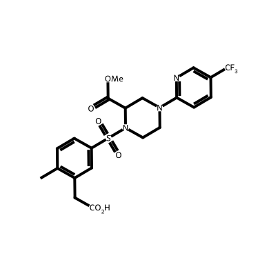 COC(=O)C1CN(c2ccc(C(F)(F)F)cn2)CCN1S(=O)(=O)c1ccc(C)c(CC(=O)O)c1